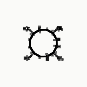 C[C@@H]1CC[C@H](C)NC[C@H](C)NN[C@H](C)NC1